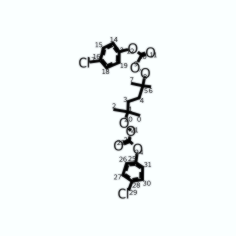 CC(C)(CCC(C)(C)OOC(=O)Oc1ccc(Cl)cc1)OOC(=O)Oc1ccc(Cl)cc1